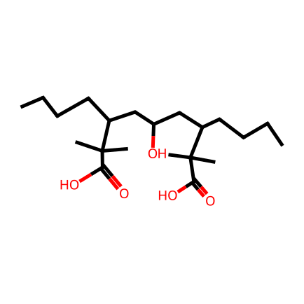 CCCCC(CC(O)CC(CCCC)C(C)(C)C(=O)O)C(C)(C)C(=O)O